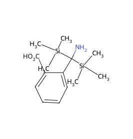 C[Si](C)(C)C(N)(c1ccccc1C(=O)O)[Si](C)(C)C